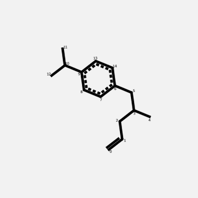 C=CCC(C)Cc1ccc(C(C)C)cc1